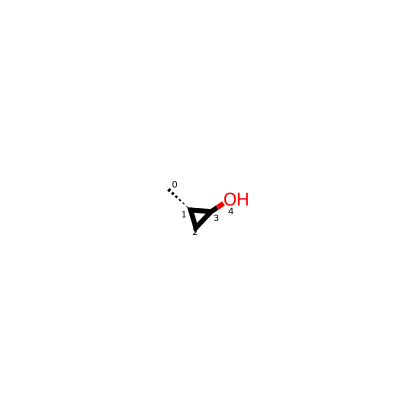 C[C@H]1CC1O